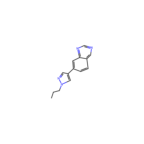 CCCn1cc(-c2ccc3cncnc3c2)cn1